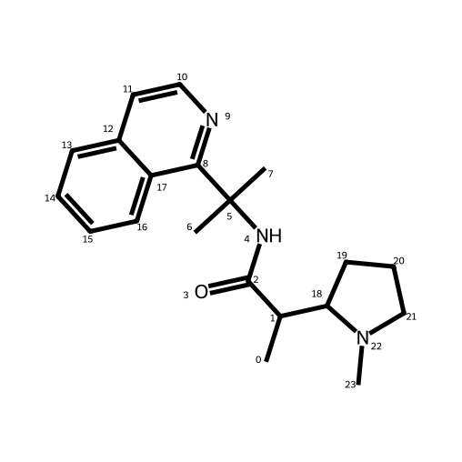 CC(C(=O)NC(C)(C)c1nccc2ccccc12)C1CCCN1C